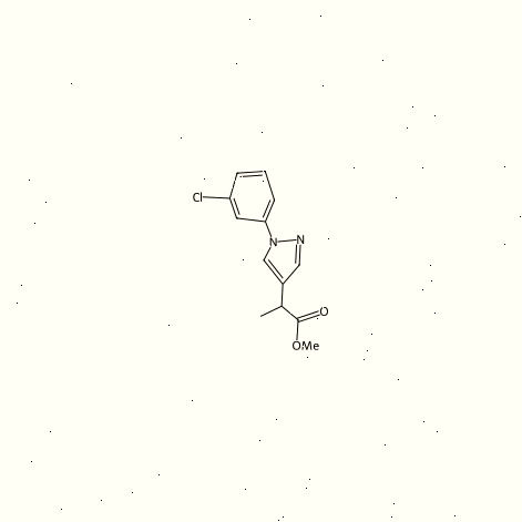 COC(=O)C(C)c1cnn(-c2cccc(Cl)c2)c1